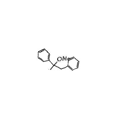 [CH2]C(Cc1ccccc1)(OC)c1ccccc1